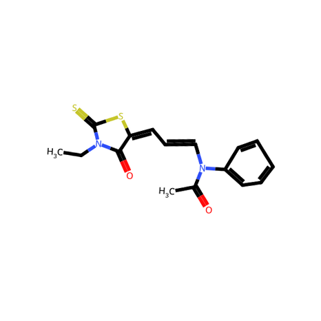 CCN1C(=O)C(=CC=CN(C(C)=O)c2ccccc2)SC1=S